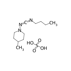 CCCCN=C=NN1CCC(C)CC1.O=S(=O)(O)O